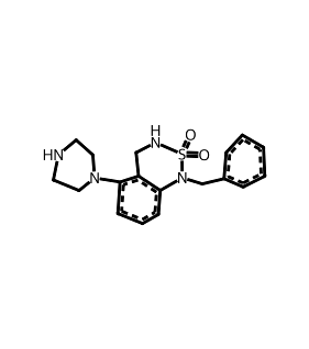 O=S1(=O)NCc2c(N3CCNCC3)cccc2N1Cc1ccccc1